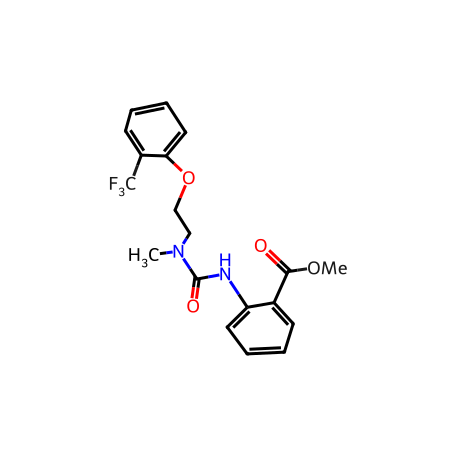 COC(=O)c1ccccc1NC(=O)N(C)CCOc1ccccc1C(F)(F)F